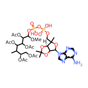 COC(OP(=O)(O)OP(=O)(O)OCC1(C)OC(n2cnc3c(N)ncnc32)C2OC(C)(C)O[C@H]21)C(OC(C)=O)C(OC(C)=O)C(OC(C)=O)C(C)[C@@H](COC(C)=O)OC(C)=O